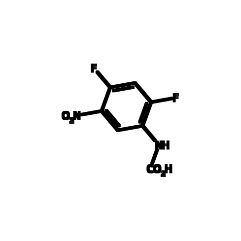 O=C(O)Nc1cc([N+](=O)[O-])c(F)cc1F